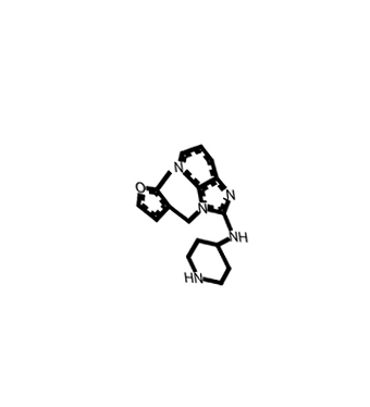 Cc1occc1Cn1c(NC2CCNCC2)nc2cccnc21